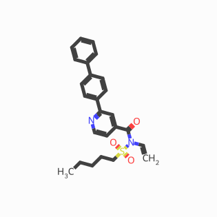 C=CN(C(=O)c1ccnc(-c2ccc(-c3ccccc3)cc2)c1)S(=O)(=O)CCCCC